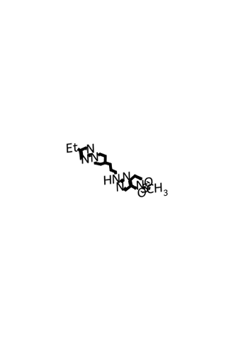 CCc1cnc(N2CCC(CCCNc3ncc4c(n3)CCN(S(C)(=O)=O)C4)CC2)nc1